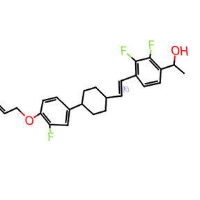 C=CCOc1ccc(C2CCC(/C=C/c3ccc(C(C)O)c(F)c3F)CC2)cc1F